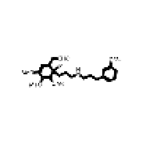 COC1=CC(CC=O)C(CCCNCCCc2cccc(OC)c2)(C(C)C)C(OC)=C1OC